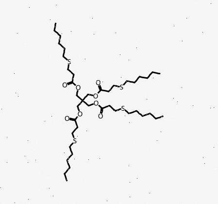 CCCCCCSCCC(=O)OCC(COC(=O)CCSCCCCCC)(COC(=O)CCSCCCCCC)COC(=O)CCSCCCCCC